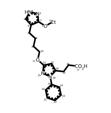 CCOc1n[nH]cc1CCCCOc1cc(CCC(=O)O)n(-c2ccccc2)n1